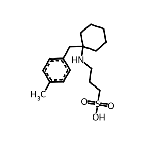 Cc1ccc(CC2(NCCCS(=O)(=O)O)CCCCC2)cc1